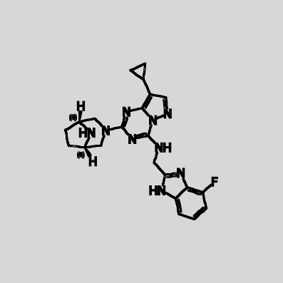 Fc1cccc2[nH]c(CNc3nc(N4C[C@H]5CC[C@@H](C4)N5)nc4c(C5CC5)cnn34)nc12